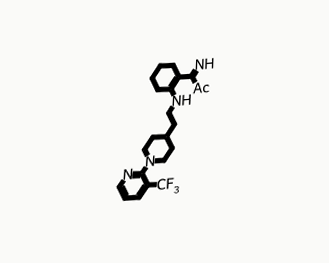 CC(=O)C(=N)C1=C(NCCC2CCN(c3ncccc3C(F)(F)F)CC2)CCCC1